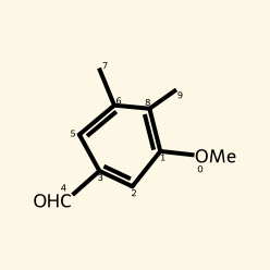 COc1cc(C=O)cc(C)c1C